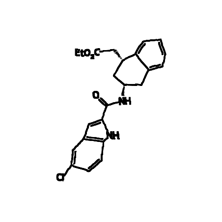 CCOC(=O)C[C@H]1C[C@@H](NC(=O)c2cc3cc(Cl)ccc3[nH]2)Cc2ccccc21